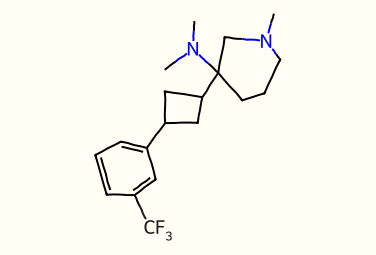 CN1CCCC(C2CC(c3cccc(C(F)(F)F)c3)C2)(N(C)C)C1